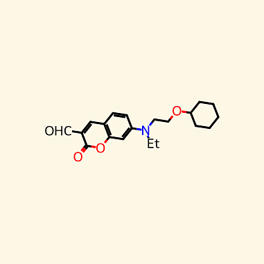 CCN(CCOC1CCCCC1)c1ccc2cc(C=O)c(=O)oc2c1